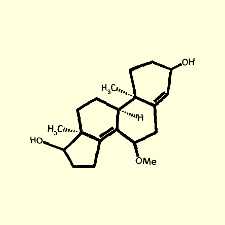 COC1CC2=CC(O)CC[C@]2(C)[C@@H]2CC[C@@]3(C)C(=C12)CCC3O